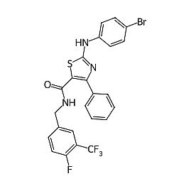 O=C(NCc1ccc(F)c(C(F)(F)F)c1)c1sc(Nc2ccc(Br)cc2)nc1-c1ccccc1